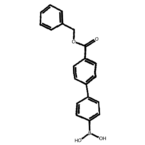 O=C(OCc1ccccc1)c1ccc(-c2ccc(B(O)O)cc2)cc1